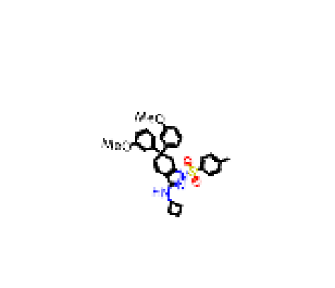 COc1cccc(C2(c3cccc(OC)c3)C=Cc3c(NC4CCC4)nn(S(=O)(=O)c4ccc(C)cc4)c3C2)c1